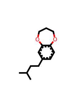 CC(C)CCc1ccc2c(c1)OCCCO2